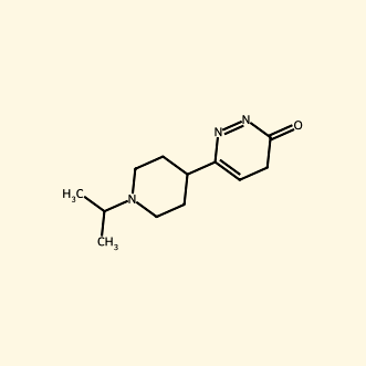 CC(C)N1CCC(C2=CCC(=O)N=N2)CC1